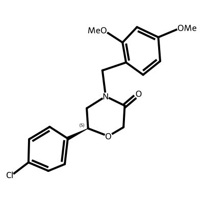 COc1ccc(CN2C[C@H](c3ccc(Cl)cc3)OCC2=O)c(OC)c1